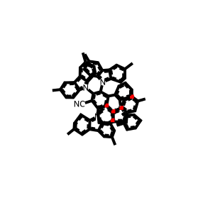 C=Cc1cc(C)ccc1N(C)c1c(-c2ccccc2-n2c3ccccc3c3cccnc32)c(-n2c3ccc(C)cc3c3cc(C)ccc32)c(-n2c3ccc(C)cc3c3cc(C)ccc32)c(C#N)c1-n1c2ccc(C)cc2c2cc(C)ccc21